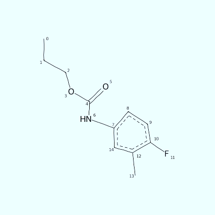 CCCOC(=O)Nc1ccc(F)c(C)c1